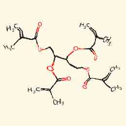 C=C(C)C(=O)OCC(OC(=O)C(=C)C)C(COC(=O)C(=C)C)OC(=O)C(=C)C